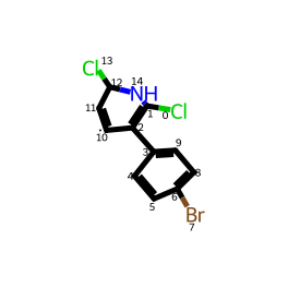 ClC1=C(c2ccc(Br)cc2)[C]=CC(Cl)N1